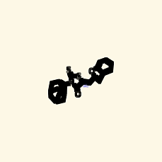 O=C1/C(=C/c2cc3ccccc3o2)SC(=S)N1C1C2CC3CC(C2)CC1C3